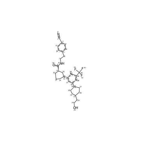 N#Cc1ccc(CCNC(=O)[C@@H]2CCCN(c3cc(N4CCC(CCO)CC4)nc(C(F)(F)F)n3)C2)cc1